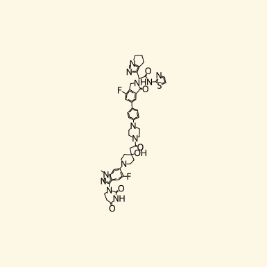 Cn1nc(N2CCC(=O)NC2=O)c2cc(F)c(N3CCC(O)(CC(=O)N4CCN(c5ccc(-c6cc(F)c7c(c6)C(=O)N(C(C(=O)Nc6nccs6)c6ncn8c6CCC8)C7)cc5)CC4)CC3)cc21